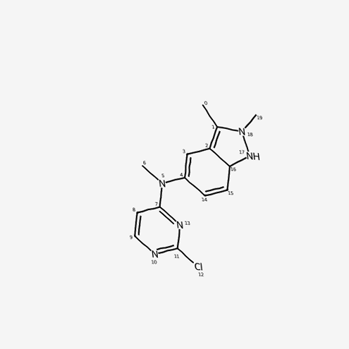 CC1=C2C=C(N(C)c3ccnc(Cl)n3)C=CC2NN1C